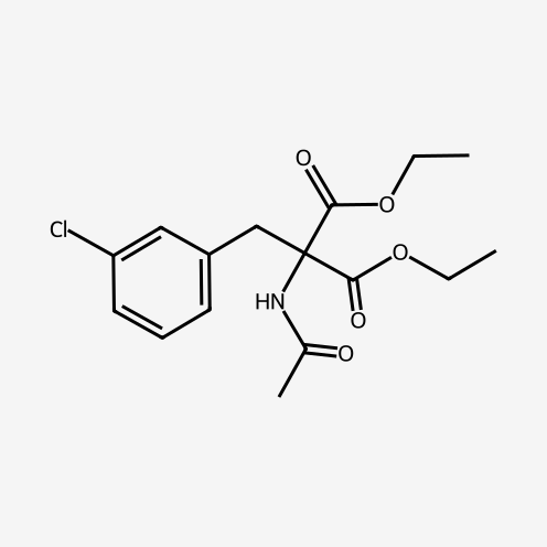 CCOC(=O)C(Cc1cccc(Cl)c1)(NC(C)=O)C(=O)OCC